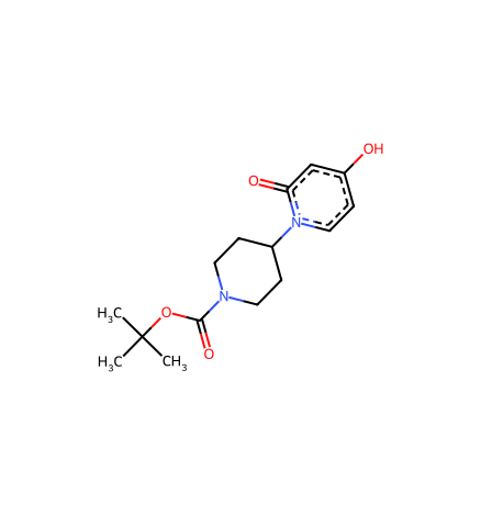 CC(C)(C)OC(=O)N1CCC(n2ccc(O)cc2=O)CC1